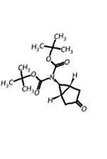 CC(C)(C)OC(=O)N(C(=O)OC(C)(C)C)[C@H]1[C@@H]2CC(=O)C[C@@H]21